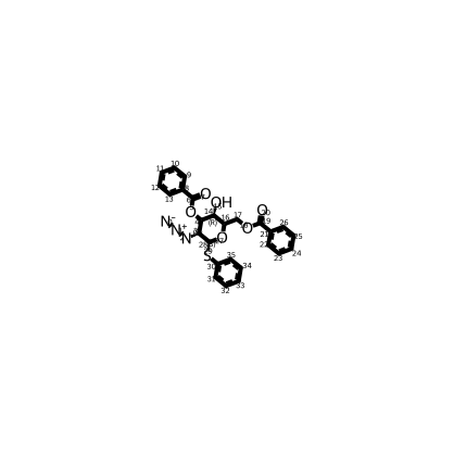 [N-]=[N+]=N[C@H]1C(OC(=O)c2ccccc2)[C@@H](O)C(COC(=O)c2ccccc2)O[C@H]1Sc1ccccc1